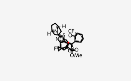 COC(=O)c1cc(F)c2nc(N3[C@@H]4CC[C@H]3C[C@@H](OCc3c(-c5ccccc5OC(F)(F)F)noc3C3CC3)C4)sc2c1